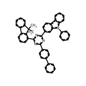 CC1(C)c2ccccc2-c2cccc(-c3nc(-c4ccc(-c5ccccc5)cc4)nc(-c4ccc5c6ccccc6n(-c6ccccc6)c5c4)n3)c21